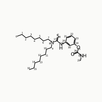 CCCCCCCCN(CCCCCCCC)C(=S)Nc1cccc(OC(=O)NC)c1